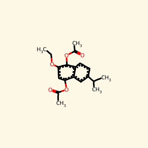 CCOc1cc(OC(C)=O)c2cc(C(C)C)ccc2c1OC(C)=O